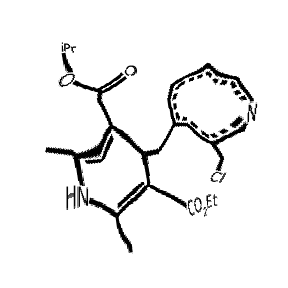 CCOC(=O)C1=C(C)NC(C)=C(C(=O)OC(C)C)C1c1cccnc1Cl